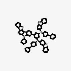 c1ccc(-c2ccc(N(c3cc(-c4ccc5c6c7sc8ccccc8c7ccc6n(-c6ccccc6)c5c4)cc(N(c4ccc(-c5ccccc5)cc4)c4ccc5sc6ccccc6c5c4)c3)c3ccc4sc5ccccc5c4c3)cc2)cc1